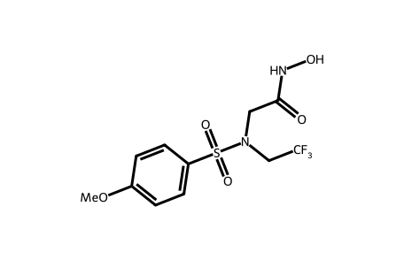 COc1ccc(S(=O)(=O)N(CC(=O)NO)CC(F)(F)F)cc1